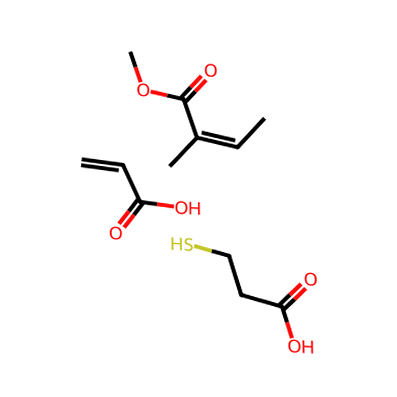 C=CC(=O)O.CC=C(C)C(=O)OC.O=C(O)CCS